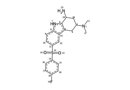 CN(C)C1Cc2c([nH]c3ccc(S(=O)(=O)c4ccc(F)cc4)cc23)C(N)C1